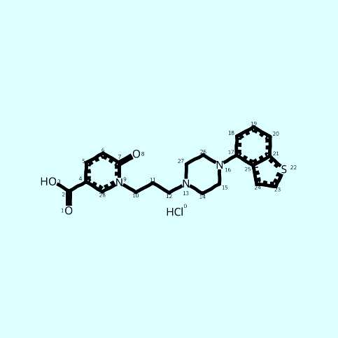 Cl.O=C(O)c1ccc(=O)n(CCCN2CCN(c3cccc4sccc34)CC2)c1